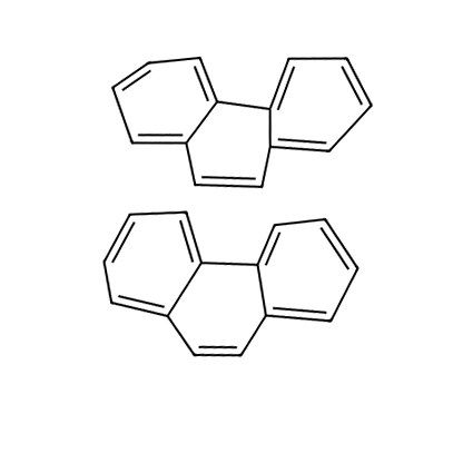 c1ccc2c(c1)ccc1ccccc12.c1ccc2c(c1)ccc1ccccc12